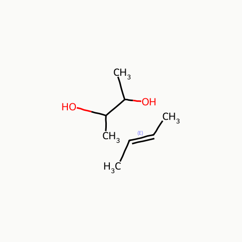 C/C=C/C.CC(O)C(C)O